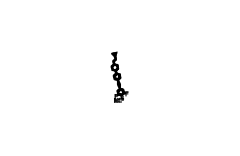 N#CSc1c(F)cc(C#Cc2ccc(C3CCC(CCC4CC4)CC3)cc2)cc1F